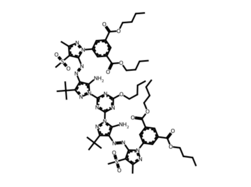 CCCCOC(=O)c1cc(C(=O)OCCCC)cc(-n2nc(C)c(S(C)(=O)=O)c2N=Nc2c(C(C)(C)C)nn(-c3nc(OCCCC)nc(-n4nc(C(C)(C)C)c(N=Nc5c(S(C)(=O)=O)c(C)nn5-c5cc(C(=O)OCCCC)cc(C(=O)OCCCC)c5)c4N)n3)c2N)c1